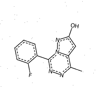 Cc1nnc(-c2ccccc2F)n2nc(O)cc12